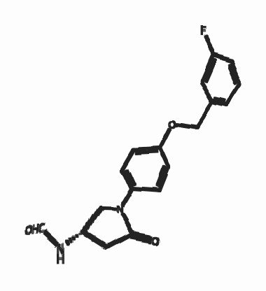 O=CN[C@H]1CC(=O)N(c2ccc(OCc3cccc(F)c3)cc2)C1